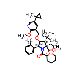 CC[C@@]1(C(=O)O)[C@@H](C(C)(C)C)[C@H](OCc2cc(C3(C)CC3)cnc2OC)[C@H](c2ccccc2C)N1C(=O)C1CCCCO1